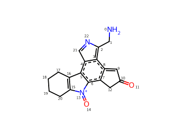 NCC1=c2c(c3c(c4c2=CC(=O)C4)[N+](=O)C2=C3CCCC2)C=N1